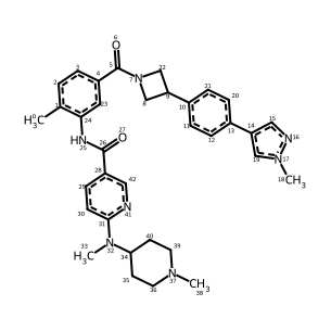 Cc1ccc(C(=O)N2CC(c3ccc(-c4cnn(C)c4)cc3)C2)cc1NC(=O)c1ccc(N(C)C2CCN(C)CC2)nc1